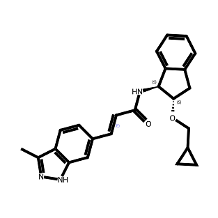 Cc1n[nH]c2cc(/C=C/C(=O)N[C@H]3c4ccccc4C[C@@H]3OCC3CC3)ccc12